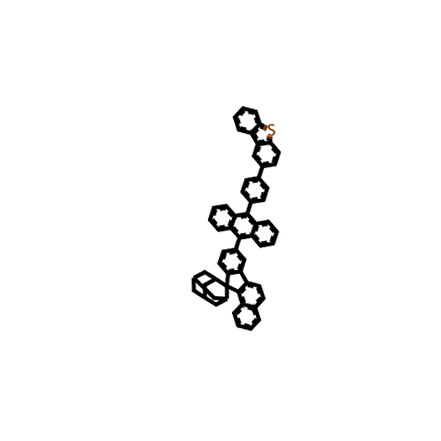 c1ccc2c3c(ccc2c1)-c1cc(-c2c4ccccc4c(-c4ccc(-c5ccc6sc7ccccc7c6c5)cc4)c4ccccc24)ccc1C31C2CC3CC(C2)CC1C3